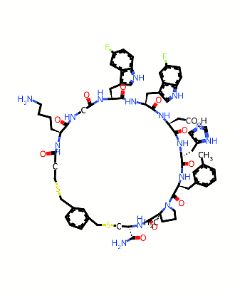 Cc1cccc(C[C@@H]2NC(=O)[C@@H](Cc3cnc[nH]3)NC(=O)[C@H](CC(=O)O)NC(=O)[C@H](Cc3c[nH]c4ccc(F)cc34)NC(=O)[C@H](Cc3c[nH]c4ccc(F)cc34)NC(=O)CNC(=O)[C@H](CCCCN)NC(=O)CCSCc3cccc(c3)CSC[C@@H](C(N)=O)NC(=O)[C@]3(C)CCCN3C2=O)c1